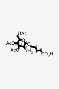 CC(=O)OCC1OC(OCCCCC(=O)O)C(N)C(OC(C)=O)C1OC(C)=O